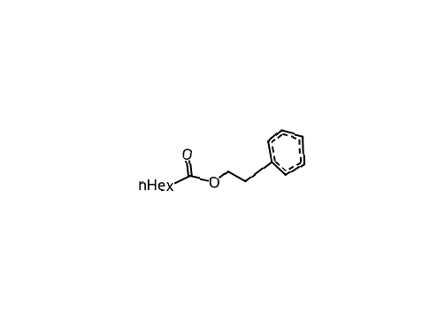 [CH2]CCCCCC(=O)OCCc1ccccc1